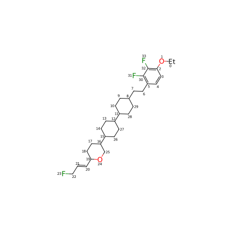 CCOc1ccc(CCC2CCC(C3CCC(C4CCC(/C=C/CF)OC4)CC3)CC2)c(F)c1F